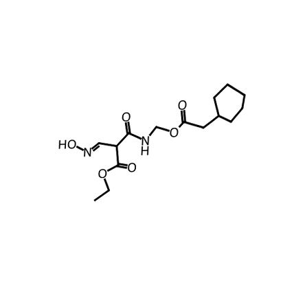 CCOC(=O)C(C=NO)C(=O)NCOC(=O)CC1CCCCC1